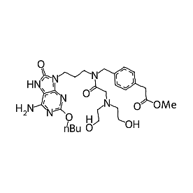 CCCCOc1nc(N)c2[nH]c(=O)n(CCCN(Cc3ccc(CC(=O)OC)cc3)C(=O)CN(CCO)CCO)c2n1